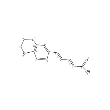 O=C(O)/C=C/C=C/c1ccc2c(c1)OCCO2